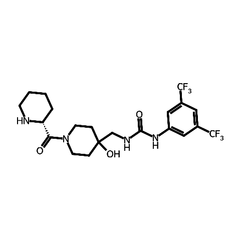 O=C(NCC1(O)CCN(C(=O)[C@H]2CCCCN2)CC1)Nc1cc(C(F)(F)F)cc(C(F)(F)F)c1